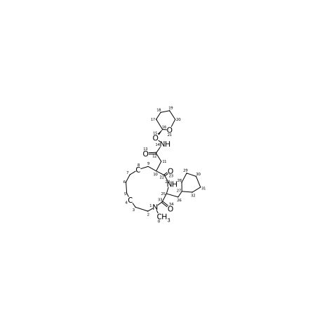 CN1CCCCCCCCC(CC(=O)NO[C@H]2CCCCO2)C(=O)NC(CC2CCCCC2)C1=O